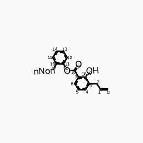 C=CCc1cccc(C(=O)Oc2ccccc2CCCCCCCCC)c1O